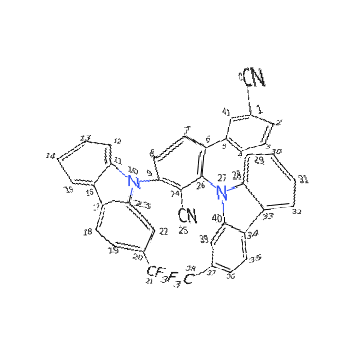 N#Cc1cccc(-c2ccc(-n3c4ccccc4c4ccc(C(F)(F)F)cc43)c(C#N)c2-n2c3ccccc3c3ccc(C(F)(F)F)cc32)c1